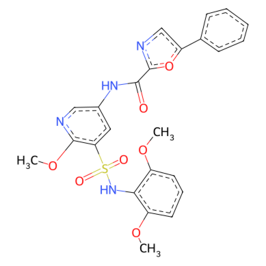 COc1cccc(OC)c1NS(=O)(=O)c1cc(NC(=O)c2ncc(-c3ccccc3)o2)cnc1OC